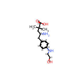 CC(C)(C[C@@H](N)Cc1ccc(NCCO)cc1)C(=O)O